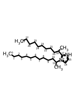 CCCCCCCCCCCC(C)[n+]1cc[nH]c1C(C)CCCCCCCCC